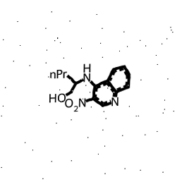 CCCC(CO)Nc1c([N+](=O)[O-])cnc2ccccc12